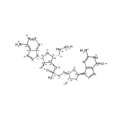 Nc1nc2c(ncn2[C@H]2C[C@H](F)/C(=C\OP(=O)(S)O[C@H]3[C@@H](F)[C@H](n4cnc5c(N)ncnc54)O[C@@H]3CNS(=O)(=O)O)O2)c(=O)[nH]1